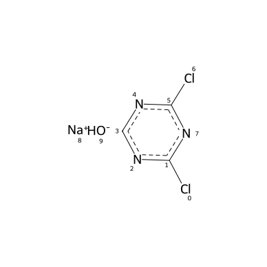 Clc1ncnc(Cl)n1.[Na+].[OH-]